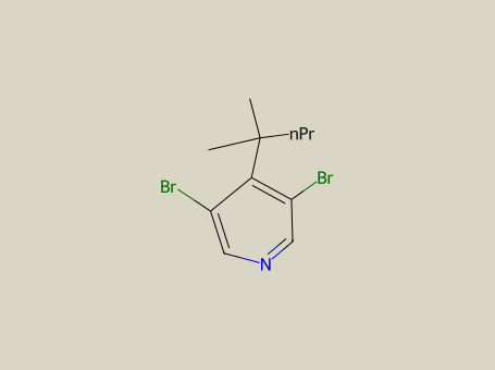 CCCC(C)(C)c1c(Br)cncc1Br